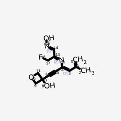 C=C(C)\C=C(C#CC1(O)COC1)/N=C(/C=N/O)CF